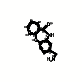 NCc1ccc2c(c1)NC(=O)c1cccnc1O2